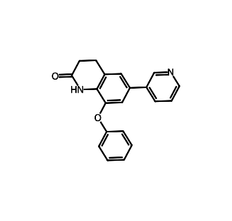 O=C1CCc2cc(-c3cccnc3)cc(Oc3ccccc3)c2N1